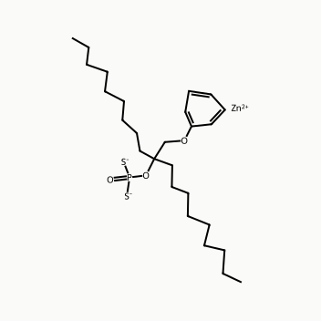 CCCCCCCCCC(CCCCCCCCC)(COc1ccccc1)OP(=O)([S-])[S-].[Zn+2]